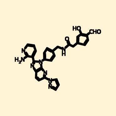 Nc1ncccc1-c1nc2ccc(-n3cccn3)nc2n1-c1ccc(CNC(=O)Cc2ccc(C=O)c(O)c2)cc1